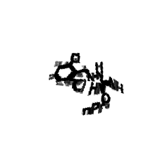 CCCONC(=N)NN=Cc1c(Cl)cccc1Cl